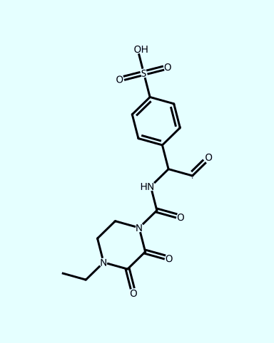 CCN1CCN(C(=O)NC([C]=O)c2ccc(S(=O)(=O)O)cc2)C(=O)C1=O